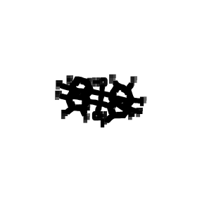 OC(c1ccc(F)cc1F)(c1c(F)c(F)c(F)c(F)c1F)C(O)(c1ccc(F)cc1F)c1c(F)c(F)c(F)c(F)c1F